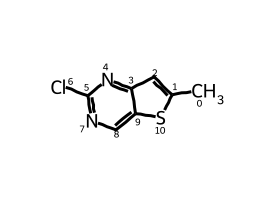 Cc1cc2nc(Cl)ncc2s1